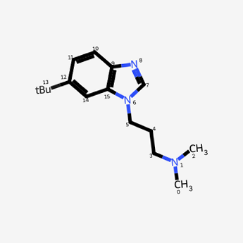 CN(C)CCCn1cnc2ccc(C(C)(C)C)cc21